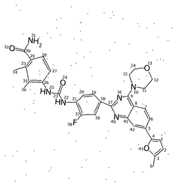 Cc1ccc(-c2ccc3c(N4CCOCC4)nc(-c4ccc(NC(=O)Nc5ccc(C(N)=O)c(C)c5C)c(F)c4)nc3c2)o1